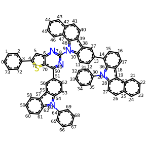 c1ccc(-c2cc3nc(-n4c5ccc(-c6cccc7c8c9ccccc9ccc8n(-c8ccccc8)c67)cc5c5ccc6ccccc6c54)nc(-c4ccc5c(c4)c4ccccc4n5-c4ccccc4)c3s2)cc1